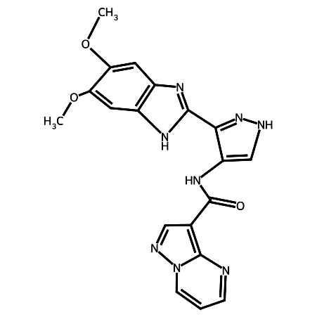 COc1cc2nc(-c3n[nH]cc3NC(=O)c3cnn4cccnc34)[nH]c2cc1OC